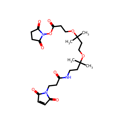 CC(C)(CCNC(=O)CCN1C(=O)C=CC1=O)OCCC(C)(C)OCCC(=O)ON1C(=O)CCC1=O